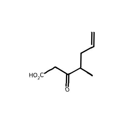 C=CCC(C)C(=O)CC(=O)O